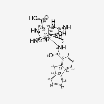 C[C@]1(O)C(NC(=O)c2cccc3c2Cc2ccccc2-3)CN2C(=N)N[C@@H](C(=O)O)C3NC(=N)NC321